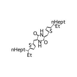 CCCCCCCC(CC)c1ccc(/C=c2\[nH]c(=O)/c(=C/c3ccc(C(CC)CCCCCCC)s3)[nH]c2=O)s1